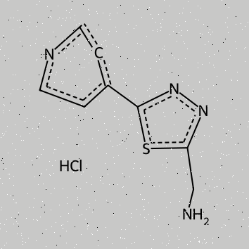 Cl.NCc1nnc(-c2ccncc2)s1